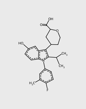 Cc1cc(-n2c(C(C)C)c(C3CCOC(C(=O)O)C3)c3cc(O)ccc32)ccc1F